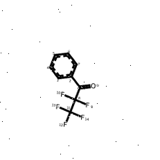 O=C(c1ccccc1)C(F)(F)C(F)(F)F